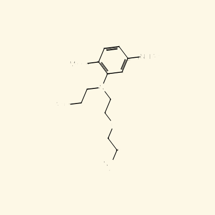 COc1ccc(NC(C)=O)cc1N(CCOCCC#N)CCOC(C)=O